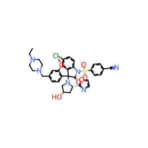 CCN1CCN(Cc2ccc(C3(N4C[C@H](O)C[C@H]4c4ncco4)C(=O)N(S(=O)(=O)c4ccc(C#N)cc4)c4ccc(Cl)cc43)c(OC)c2)CC1